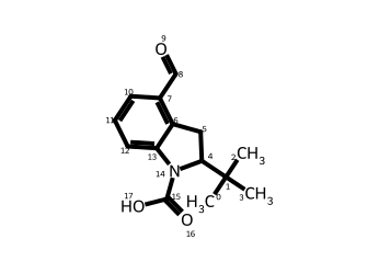 CC(C)(C)C1Cc2c(C=O)cccc2N1C(=O)O